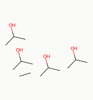 CC.CC(C)O.CC(C)O.CC(C)O.CC(C)O